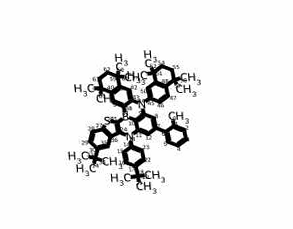 Cc1ccccc1-c1cc2c3c(c1)N(c1ccc(C(C)(C)C)cc1)c1c(sc4ccc(C(C)(C)C)cc14)B3c1cc3c(cc1N2c1ccc2c(c1)C(C)(C)CCC2(C)C)C(C)(C)CCC3(C)C